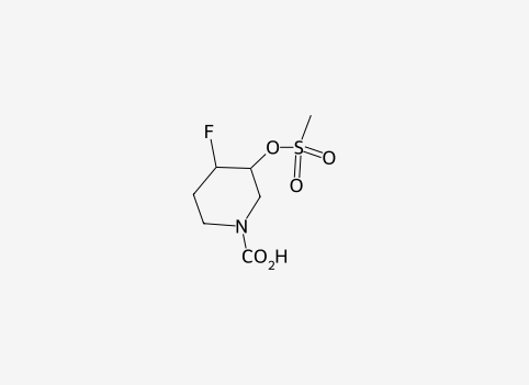 CS(=O)(=O)OC1CN(C(=O)O)CCC1F